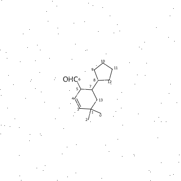 CC1(C)C=CC(C=O)C(C2CCCC2)C1